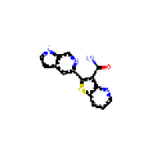 NC(=O)c1c(-c2cc3cc[nH]c3cn2)sc2cccnc12